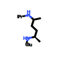 CC(C)NC(C)CC[C@@H](C)NC(C)(C)C